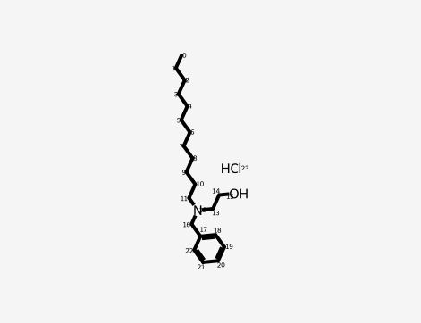 CCCCCCCCCCCCN(CCO)Cc1ccccc1.Cl